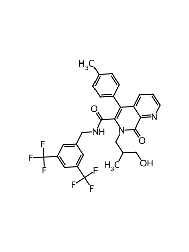 Cc1ccc(-c2c(C(=O)NCc3cc(C(F)(F)F)cc(C(F)(F)F)c3)n(CC(C)CO)c(=O)c3ncccc23)cc1